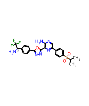 CC(C)S(=O)(=O)c1ccc(-c2cnc(N)c(-c3nnc(-c4ccc([C@H](N)C(F)(F)F)cc4)o3)n2)cc1